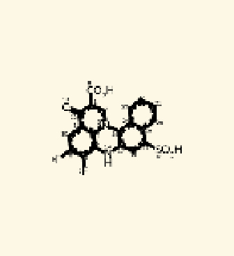 O=C(O)c1cn2c3c(c(F)c(F)cc3c1=O)Nc1cc(S(=O)(=O)O)c3ccccc3c1-2